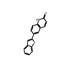 O=c1ccc2cc(-c3cc4ccccc4s3)ccc2[nH]1